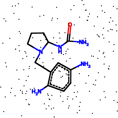 NC(=O)NC1CCCN1Cc1cc(N)ccc1N